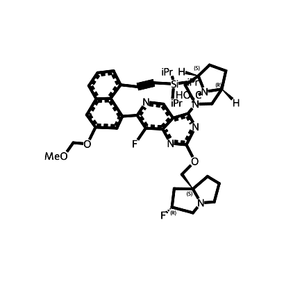 COCOc1cc(-c2ncc3c(N4C[C@H]5CC[C@@H](C4)N5C(=O)O)nc(OC[C@@]45CCCN4C[C@H](F)C5)nc3c2F)c2c(C#C[Si](C(C)C)(C(C)C)C(C)C)cccc2c1